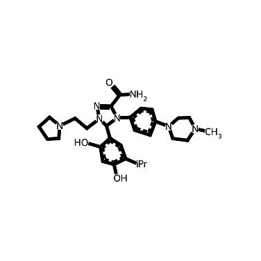 CC(C)c1cc(C2N(CCN3CCCC3)N=C(C(N)=O)N2c2ccc(N3CCN(C)CC3)cc2)c(O)cc1O